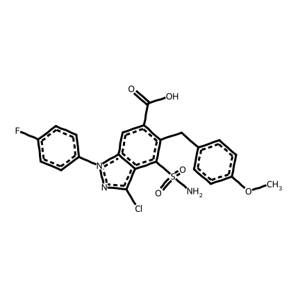 COc1ccc(Cc2c(C(=O)O)cc3c(c(Cl)nn3-c3ccc(F)cc3)c2S(N)(=O)=O)cc1